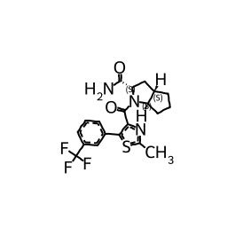 Cc1nc(C(=O)N2[C@H](C(N)=O)C[C@@H]3CCC[C@@H]32)c(-c2cccc(C(F)(F)F)c2)s1